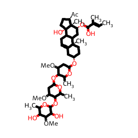 C/C=C(\C)C(O)O[C@@H]1CC2C(CC=C3C[C@@H](OC4CC(OC)C(OC5CC(OC)C(OC6OC(C)C(O)C(OC)C6O)C(C)O5)C(C)O4)CC[C@@]32C)[C@@]2(O)CC[C@H](C(C)=O)[C@@]12C